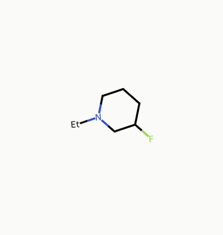 CCN1CCCC(F)C1